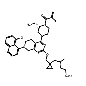 C=C(F)C(=O)N1CCN(c2nc(OCC3(CN(C)CCOC)CC3)nc3c2CCN(c2cccc4cccc(Cl)c24)C3)C[C@@H]1CC#N